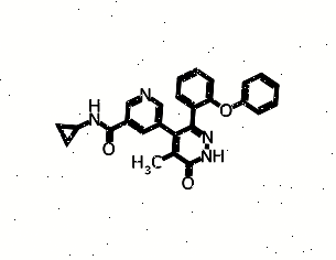 Cc1c(-c2cncc(C(=O)NC3CC3)c2)c(-c2ccccc2Oc2ccccc2)n[nH]c1=O